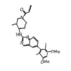 C=CC(=O)N1CCC(Nc2ncc3cc(-c4c(C)c(OC)cc(OC)c4C)ccc3n2)C(C)C1